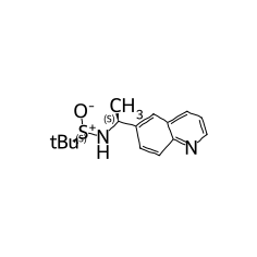 C[C@H](N[S@+]([O-])C(C)(C)C)c1ccc2ncccc2c1